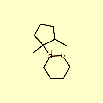 CC1CCCC1(C)[SiH]1CCCCO1